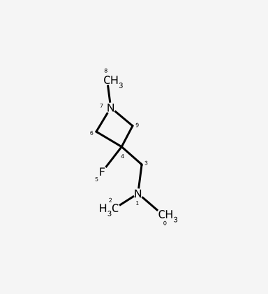 CN(C)CC1(F)CN(C)C1